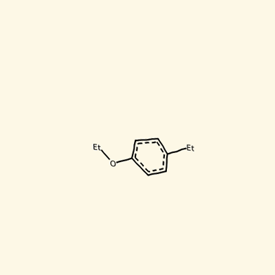 [CH2]COc1ccc(CC)cc1